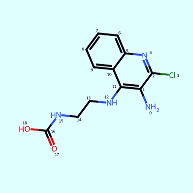 Nc1c(Cl)nc2ccccc2c1NCCNC(=O)O